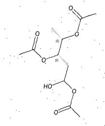 CC(=O)OC(O)C[C@H](OC(C)=O)[C@H](C)OC(C)=O